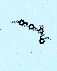 O=C(O)c1ccc(CN[C@H]2CC[C@H](CNc3nc(NCc4ccccc4OC(F)(F)F)ncc3[N+](=O)[O-])CC2)cc1